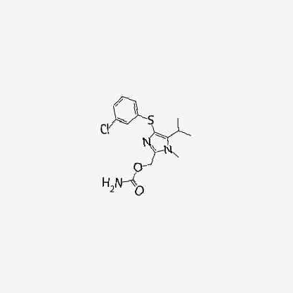 CC(C)c1c(Sc2cccc(Cl)c2)nc(COC(N)=O)n1C